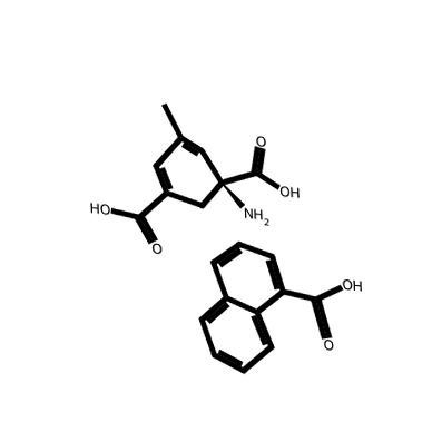 CC1=C[C@](N)(C(=O)O)CC(C(=O)O)=C1.O=C(O)c1cccc2ccccc12